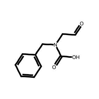 O=CCN(Cc1ccccc1)C(=O)O